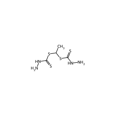 CC(SC(=S)NN)SC(=S)NN